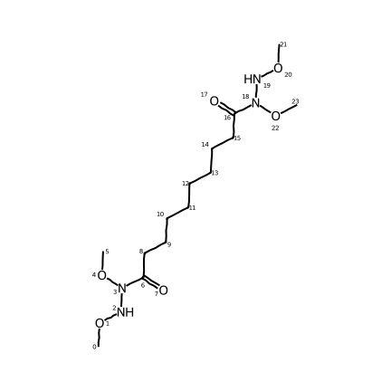 CONN(OC)C(=O)CCCCCCCCC(=O)N(NOC)OC